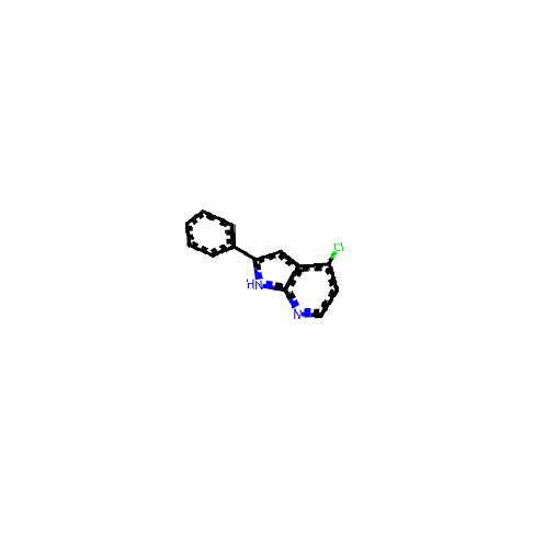 Clc1ccnc2[nH]c(-c3ccccc3)cc12